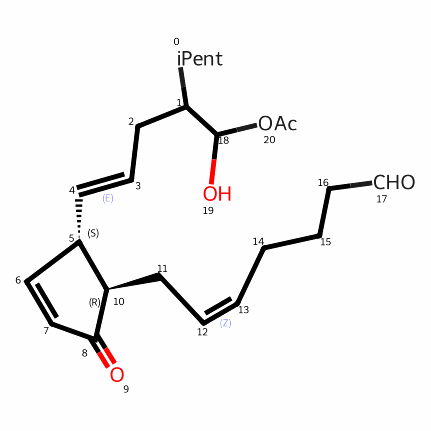 CCCC(C)C(C/C=C/[C@H]1C=CC(=O)[C@@H]1C/C=C\CCCC=O)C(O)OC(C)=O